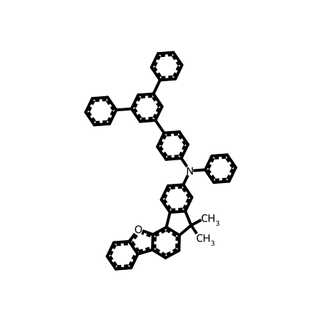 CC1(C)c2cc(N(c3ccccc3)c3ccc(-c4cc(-c5ccccc5)cc(-c5ccccc5)c4)cc3)ccc2-c2c1ccc1c2oc2ccccc21